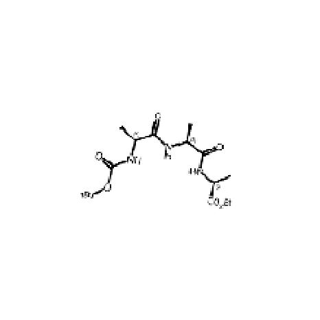 CCOC(=O)[C@H](C)NC(=O)[C@H](C)NC(=O)[C@H](C)NC(=O)OC(C)(C)C